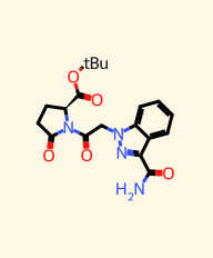 CC(C)(C)OC(=O)[C@@H]1CCC(=O)N1C(=O)Cn1nc(C(N)=O)c2ccccc21